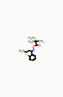 CSC(C)(C)C(=O)O/N=C1\CC(C)Sc2ccccc21